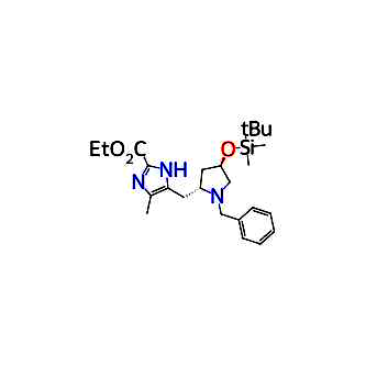 CCOC(=O)c1nc(C)c(C[C@@H]2C[C@@H](O[Si](C)(C)C(C)(C)C)CN2Cc2ccccc2)[nH]1